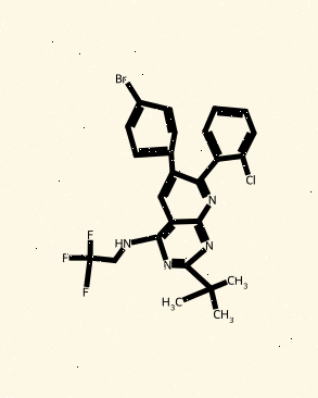 CC(C)(C)c1nc(NCC(F)(F)F)c2cc(-c3ccc(Br)cc3)c(-c3ccccc3Cl)nc2n1